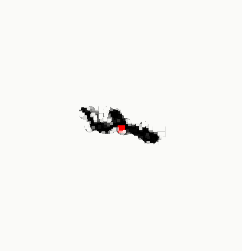 CCOC(=O)CCC(=O)N1CCN(C=C=C=NC(=O)[C@@H](Cc2ccc(O)c(Br)c2)OC(=O)N2CCC(N3CCc4ccccc4NC3=O)CC2)CC1